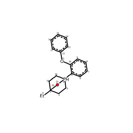 CCC12CC[PH](c3ccccc3Oc3ccccc3)(CC1)OC2